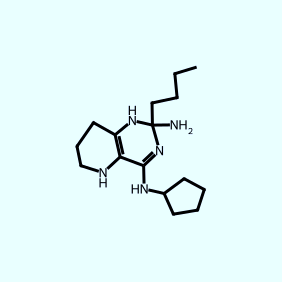 CCCCC1(N)N=C(NC2CCCC2)C2=C(CCCN2)N1